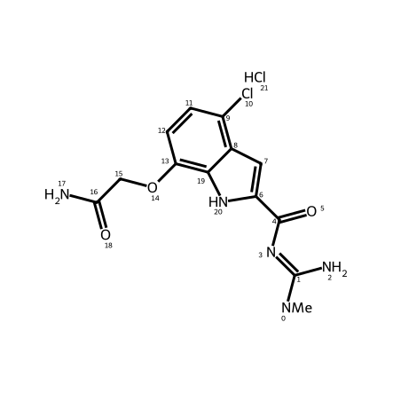 CNC(N)=NC(=O)c1cc2c(Cl)ccc(OCC(N)=O)c2[nH]1.Cl